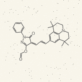 CC1(C)CCN2CCC(C)(C)c3cc(/C=C/C=C4\C(=O)N(c5ccccc5)N=C4OC=O)cc1c32